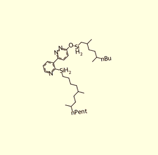 CCCCCC(C)CCC(C)CCCC[SiH2]c1ncccc1-c1ccc(O[SiH2]CC(C)CCC(C)CCCC)nn1